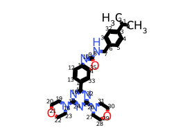 CC(C)c1ccc(CNc2nc3ccc(-c4nc(N5CCOCC5)nc(N5CCOCC5)n4)cc3o2)cc1